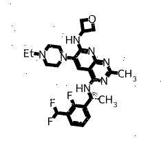 CCN1CCN(c2cc3c(N[C@H](C)c4cccc(C(F)F)c4F)nc(C)nc3nc2NC2COC2)CC1